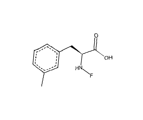 Cc1cccc(C[C@H](NF)C(=O)O)c1